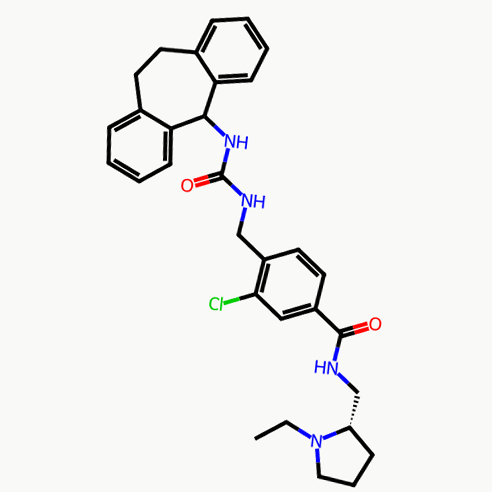 CCN1CCC[C@H]1CNC(=O)c1ccc(CNC(=O)NC2c3ccccc3CCc3ccccc32)c(Cl)c1